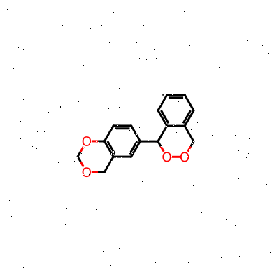 [c]1ccc2c(c1)C(c1ccc3c(c1)COCO3)OOC2